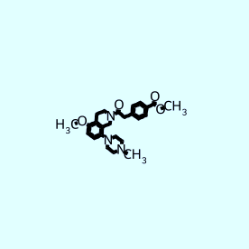 COC(=O)c1ccc(CC(=O)N2CCc3c(OC)ccc(N4CCN(C)CC4)c3C2)cc1